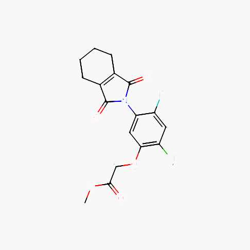 COC(=O)COc1cc(N2C(=O)C3=C(CCCC3)C2=O)c(F)cc1Cl